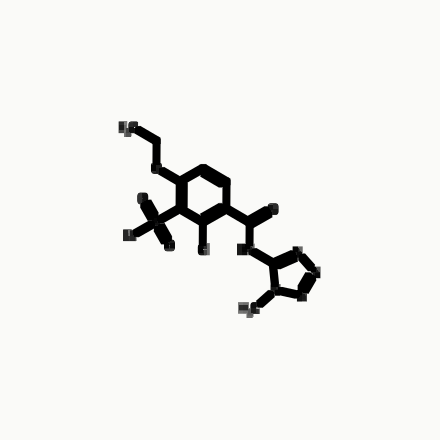 CCS(=O)(=O)c1c(OCC(F)(F)F)ccc(C(=O)Nc2nnnn2C)c1Cl